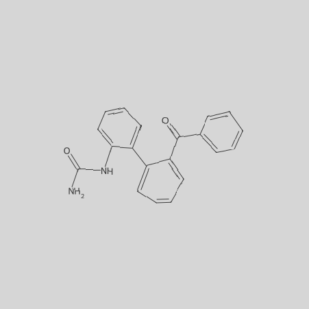 NC(=O)Nc1ccccc1-c1ccccc1C(=O)c1ccccc1